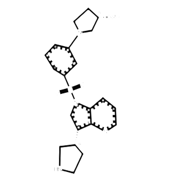 CO[C@H]1CCN(c2cccc(S(=O)(=O)n3cc([C@@H]4CCNC4)c4ncccc43)c2)C1